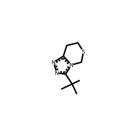 CC(C)(C)c1nnc2n1CSCC2